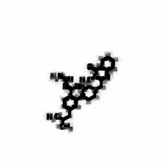 CC(C)Cc1ccc(/C(N)=N/NN)c(N2CCN(Cc3nc4ccccc4c(=O)n3C)CC2)c1